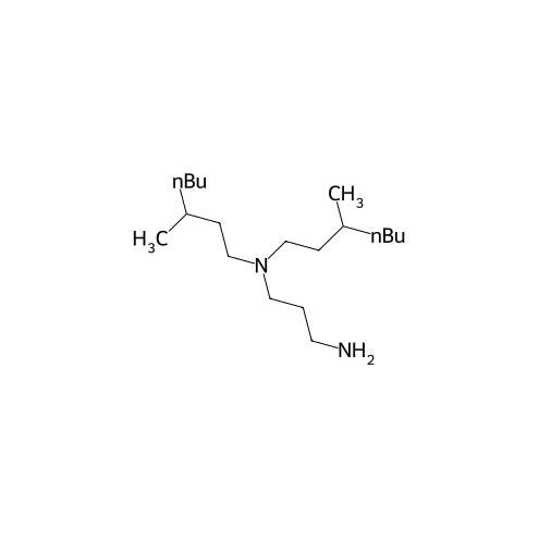 CCCCC(C)CCN(CCCN)CCC(C)CCCC